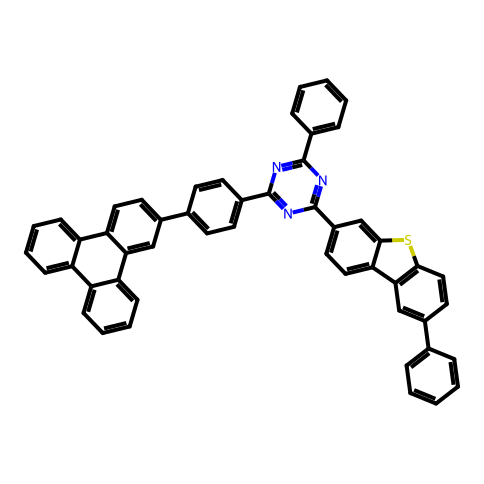 c1ccc(-c2ccc3sc4cc(-c5nc(-c6ccccc6)nc(-c6ccc(-c7ccc8c9ccccc9c9ccccc9c8c7)cc6)n5)ccc4c3c2)cc1